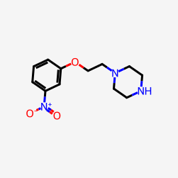 O=[N+]([O-])c1cccc(OCCN2CCNCC2)c1